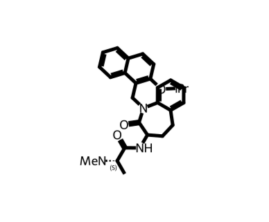 CN[C@@H](C)C(=O)NC1CCc2ccccc2N(Cc2c(OC(C)C)ccc3ccccc23)C1=O